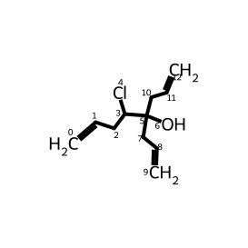 C=CCC(Cl)C(O)(CC=C)CC=C